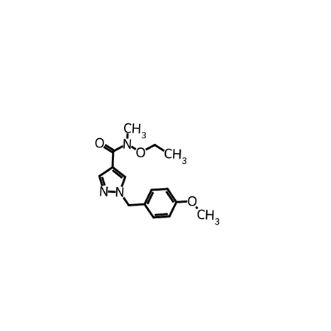 CCON(C)C(=O)c1cnn(Cc2ccc(OC)cc2)c1